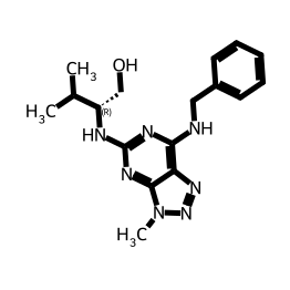 CC(C)[C@H](CO)Nc1nc(NCc2ccccc2)c2nnn(C)c2n1